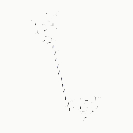 CCCC(=O)OC[C@@H](OC(=O)CCC)[C@@H](OC(=O)CCC)[C@H](OC(=O)CCC)[C@@H](OC(=O)CCC)C(=O)OC1CC(C)(C)C(/C=C/C(C)=C/C=C/C(C)=C/C=C/C=C(C)/C=C/C=C(C)/C=C/C2=C(C)C(=O)C(OC(=O)[C@H](OC(=O)CCC)[C@@H](OC(=O)CCC)[C@H](OC(=O)CCC)[C@@H](COC(=O)CCC)OC(=O)CCC)CC2(C)C)=C(C)C1=O